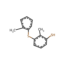 Cc1ccccc1Sc1cccc(S)c1C